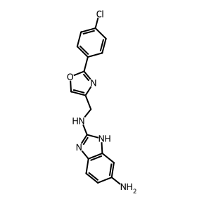 Nc1ccc2nc(NCc3coc(-c4ccc(Cl)cc4)n3)[nH]c2c1